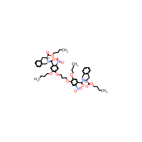 CCCCOC(=O)[C@@H]1Cc2ccccc2CN1C(=O)c1cc(OCCCC)c(OCCCOc2cc([N+](=O)[O-])c(C(=O)N3Cc4ccccc4C[C@H]3C(=O)OCCCC)cc2OCCCC)cc1[N+](=O)[O-]